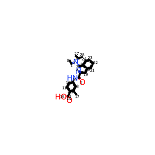 CCN(c1nc(C(=O)Nc2ccc(C(=O)O)c(C)c2)cc2ccccc12)C(C)C